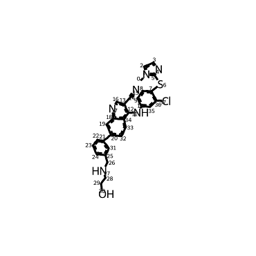 Cn1ccnc1Sc1ccc(Nc2c(C#N)cnc3cc(-c4cccc(CNCCO)c4)ccc23)cc1Cl